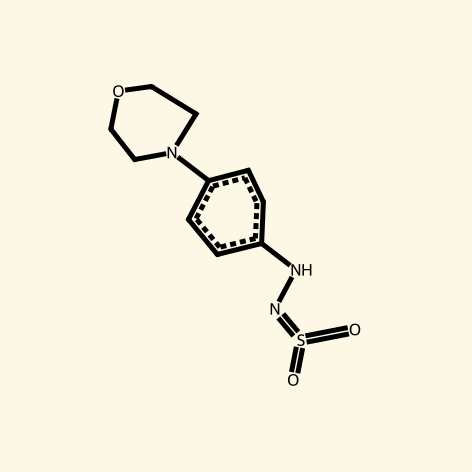 O=S(=O)=NNc1ccc(N2CCOCC2)cc1